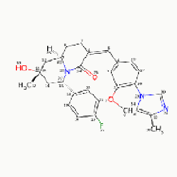 COc1cc(C=C2CC[C@@H]3C[C@@](C)(O)C[C@@H](c4ccc(F)cc4)N3C2=O)ccc1-n1cnc(C)c1